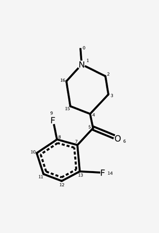 CN1CCC(C(=O)c2c(F)cccc2F)CC1